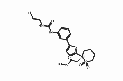 O=C(C[C@]1(c2ccc(-c3cccc(NC(=O)NCCCl)c3)s2)CCCCS1(=O)=O)NO